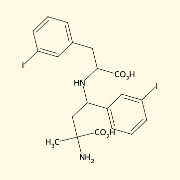 CC(N)(CC(NC(Cc1cccc(I)c1)C(=O)O)c1cccc(I)c1)C(=O)O